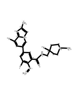 C=Nc1c(F)cc(-c2cc(F)c3nc(C)cn3c2)cc1C(=O)NCC1(F)CCN(C)CC1